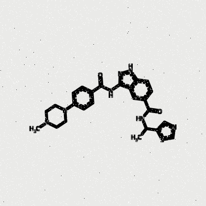 CC(NC(=O)c1ccc2[nH]nc(NC(=O)c3ccc(N4CCN(C)CC4)cc3)c2c1)c1cncs1